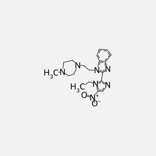 CCn1c([N+](=O)[O-])cnc1-c1nc2ccccc2n1CCN1CCN(C)CC1